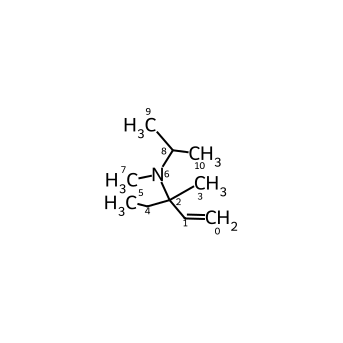 C=CC(C)(CC)N(C)C(C)C